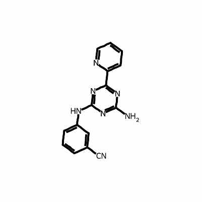 N#Cc1cccc(Nc2nc(N)nc(-c3ccccn3)n2)c1